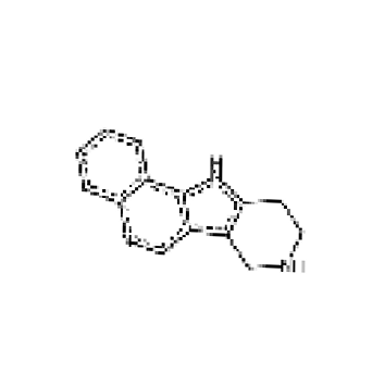 c1ccc2c(c1)ncc1c3c([nH]c12)CCNC3